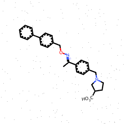 C/C(=N\OCc1ccc(-c2ccccc2)cc1)c1ccc(CN2CCC(C(=O)O)C2)cc1